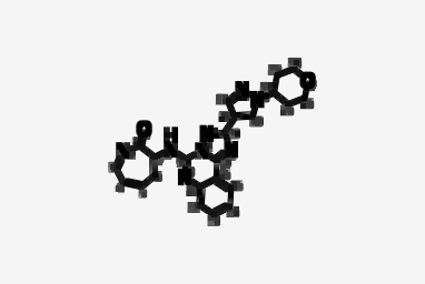 O=c1nccccc1Nc1nc2ccccc2c2nc(-c3cnn(C4CCOCC4)c3)nn12